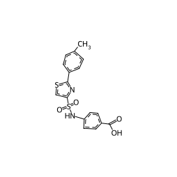 Cc1ccc(-c2nc(S(=O)(=O)Nc3ccc(C(=O)O)cc3)cs2)cc1